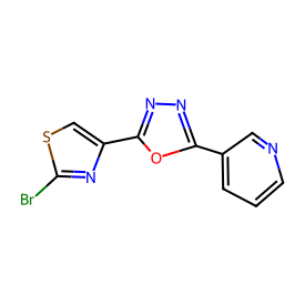 Brc1nc(-c2nnc(-c3cccnc3)o2)cs1